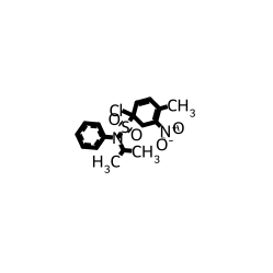 CC1=C([N+](=O)[O-])CC(Cl)(S(=O)(=O)N(c2ccccc2)C(C)C)C=C1